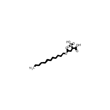 CCCCCCCCCCCCOC(=O)CC(C(=O)O)S(=O)(=O)O